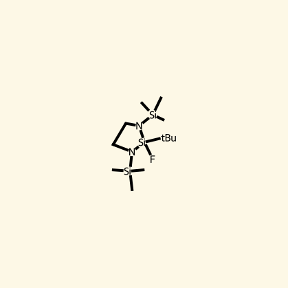 CC(C)(C)[Si]1(F)N([Si](C)(C)C)CCN1[Si](C)(C)C